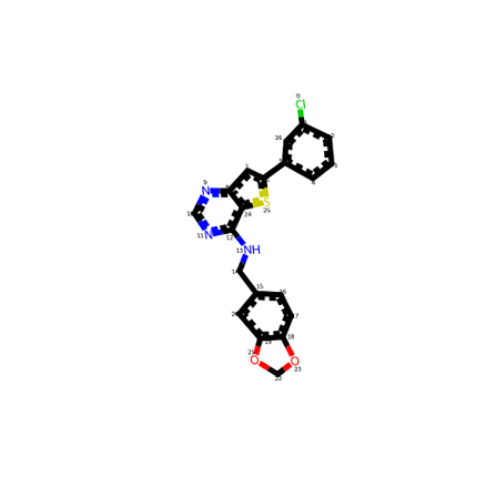 Clc1cccc(-c2cc3ncnc(NCc4ccc5c(c4)OCO5)c3s2)c1